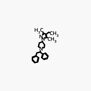 CCc1c(C)nn(C2CCN(C(Cc3ccccc3)c3ccccc3)CC2)c1C